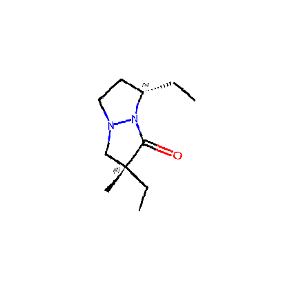 CC[C@H]1CCN2C[C@@](C)(CC)C(=O)N12